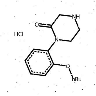 CCCCOc1ccccc1N1CCNCC1=O.Cl